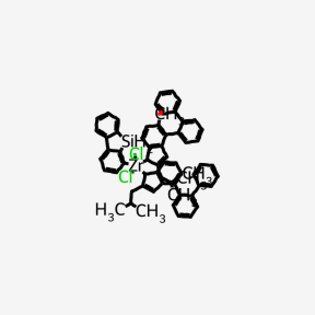 Cc1ccc2c(c1-c1ccccc1-c1ccccc1)C=C(CC(C)C)[CH]2[Zr]([Cl])([Cl])([c]1cccc2c1[SiH2]c1ccccc1-2)[CH]1C(CC(C)C)=Cc2c1ccc(C)c2-c1ccccc1-c1ccccc1